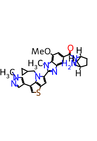 COc1cc(C(=O)N2C[C@H]3CC[C@@H]2[C@@H]3N)cc2nc(-c3cc4scc(-c5cnn(C)c5)c4n3CC3CC3)n(C)c12